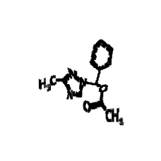 CC(=O)OC(c1ccccc1)n1cnc(C)n1